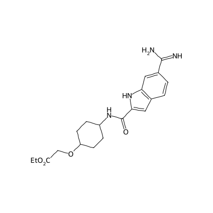 CCOC(=O)COC1CCC(NC(=O)c2cc3ccc(C(=N)N)cc3[nH]2)CC1